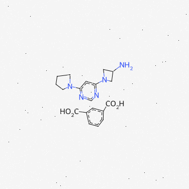 NC1CN(c2cc(N3CCCC3)ncn2)C1.O=C(O)c1cccc(C(=O)O)c1